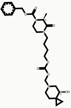 C[C@H]1C(=O)N(CCCCOC(=O)OCN2CCC3(CC3)[C@H](O)C2)CCN1C(=O)OCc1ccccc1